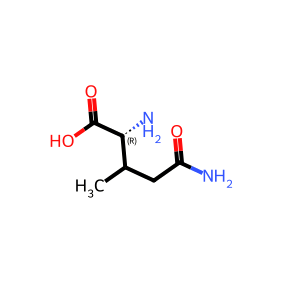 CC(CC(N)=O)[C@@H](N)C(=O)O